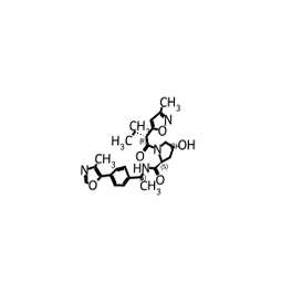 Cc1cc([C@H](C(=O)N2C[C@H](O)C[C@H]2C(=O)N[C@@H](C)c2ccc(-c3ocnc3C)cc2)C(C)C)on1